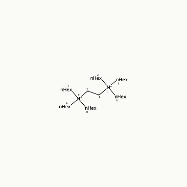 CCCCCC[N+](CCCCCC)(CCCCCC)CC[N+](CCCCCC)(CCCCCC)CCCCCC